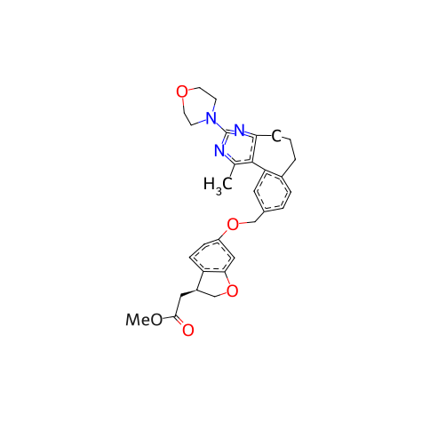 COC(=O)C[C@@H]1COc2cc(OCc3ccc4c(c3)-c3c(C)nc(N5CCOCC5)nc3CCC4)ccc21